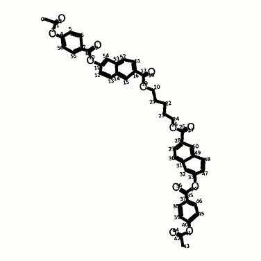 CC(=O)Oc1ccc(C(=O)Oc2ccc3cc(C(=O)OCCCCCOC(=O)c4ccc5cc(OC(=O)c6ccc(OC(C)=O)cc6)ccc5c4)ccc3c2)cc1